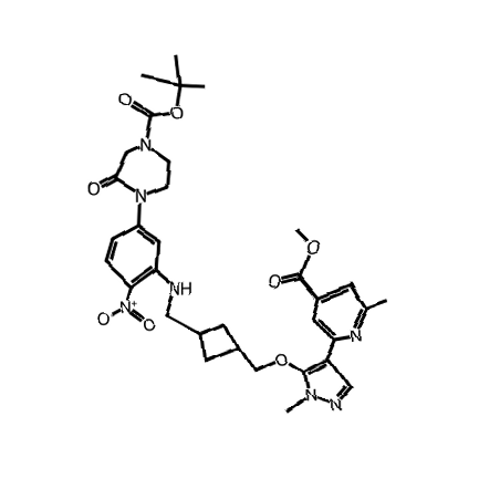 COC(=O)c1cc(C)nc(-c2cnn(C)c2OCC2CC(CNc3cc(N4CCN(C(=O)OC(C)(C)C)CC4=O)ccc3[N+](=O)[O-])C2)c1